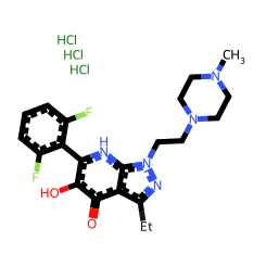 CCc1nn(CCN2CCN(C)CC2)c2[nH]c(-c3c(F)cccc3F)c(O)c(=O)c12.Cl.Cl.Cl